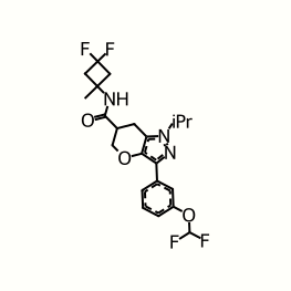 CC(C)n1nc(-c2cccc(OC(F)F)c2)c2c1CC(C(=O)NC1(C)CC(F)(F)C1)CO2